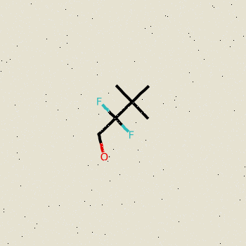 CC(C)(C)C(F)(F)C[O]